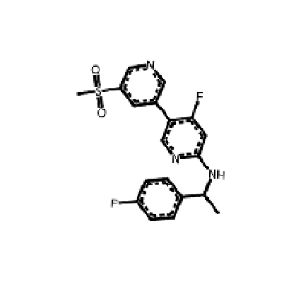 CC(Nc1cc(F)c(-c2cncc(S(C)(=O)=O)c2)cn1)c1ccc(F)cc1